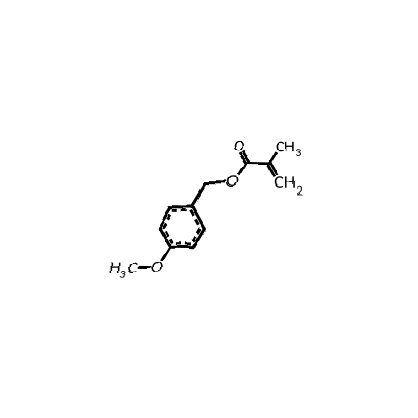 C=C(C)C(=O)OCc1ccc(OC)cc1